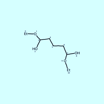 CCOC(O)CCCC(O)OCC